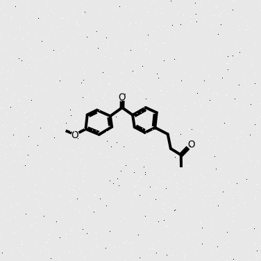 COc1ccc(C(=O)c2ccc(CCC(C)=O)cc2)cc1